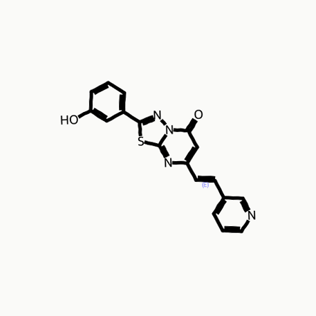 O=c1cc(/C=C/c2cccnc2)nc2sc(-c3cccc(O)c3)nn12